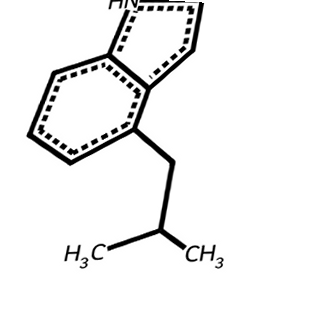 CC(C)Cc1cccc2[nH]ccc12